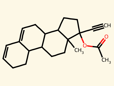 C#CC1(OC(C)=O)CCC2C3CC=C4C=CCCC4C3CCC21C